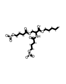 CCCCCOC(=O)C(COC(=O)CCCO[N+](=O)[O-])NC(=O)CCCO[N+](=O)[O-]